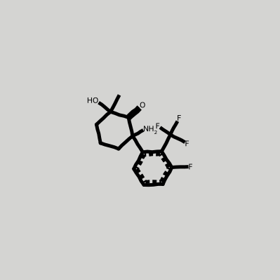 CC1(O)CCCC(N)(c2cccc(F)c2C(F)(F)F)C1=O